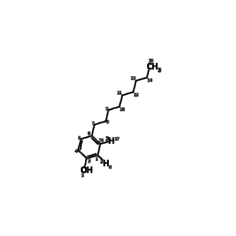 [2H]c1c(O)ccc(CCCCCCCCC)c1[2H]